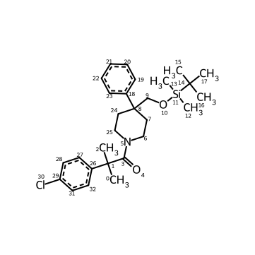 CC(C)(C(=O)N1CCC(CO[Si](C)(C)C(C)(C)C)(c2ccccc2)CC1)c1ccc(Cl)cc1